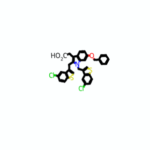 O=C(O)Cc1c(Cc2csc3ccc(Cl)cc23)n(Cc2csc3ccc(Cl)cc23)c2cc(OCc3ccccc3)ccc12